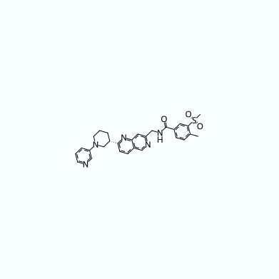 Cc1ccc(C(=O)NCc2cc3nc([C@H]4CCCN(c5cccnc5)C4)ccc3cn2)cc1S(C)(=O)=O